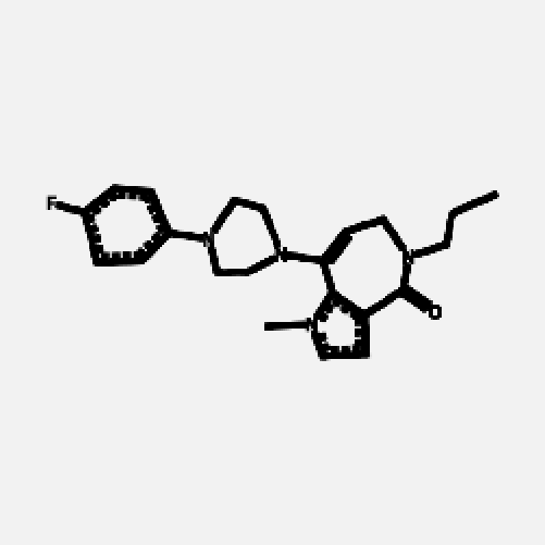 CCCN1CC=C(N2CCN(c3ccc(F)cc3)CC2)c2c(ccn2C)C1=O